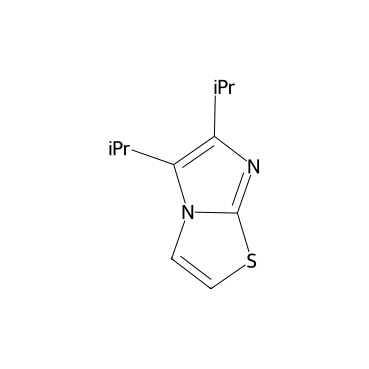 CC(C)c1nc2sccn2c1C(C)C